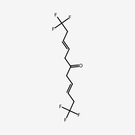 O=C(CC=CCC(F)(F)F)CC=CCC(F)(F)F